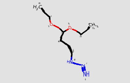 CCOC(CCNN=N)OCC